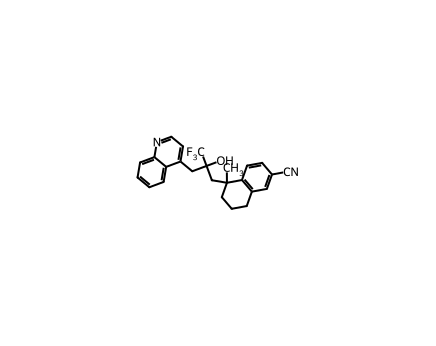 CC1(CC(O)(Cc2ccnc3ccccc23)C(F)(F)F)CCCc2cc(C#N)ccc21